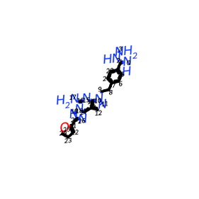 N=C(NN)c1ccc(CCn2ncc3c2nc(N)n2nc(C4=CCCO4)nc32)cc1